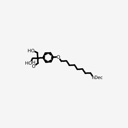 CCCCCCCCCCCCCCCCCCOc1ccc(C(CO)(CO)CO)cc1